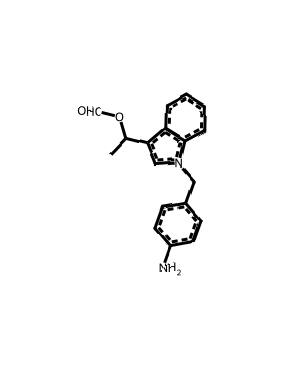 CC(OC=O)c1cn(Cc2ccc(N)cc2)c2ccccc12